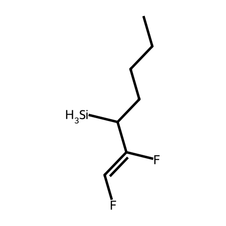 CCCCC([SiH3])C(F)=CF